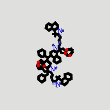 CN1/C(=C/C=C/C2=[N+](C)c3cc(C(c4ccccc4)c4cc5c(c6ccccc46)C(Cc4ccccc4)(Cc4ccccc4)C(/C=C/C=C4/N(C)c6ccc7ccccc7c6C4(C)C)=[N+]5C)c4ccccc4c3C2(Cc2ccccc2)Cc2ccccc2)C(C)(C)c2c1ccc1ccccc21